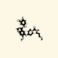 COCCCN(C)C(=O)N1CCC(Oc2cc3c(Nc4ccc(F)c(Cl)c4)ncnc3cc2OC)CC1